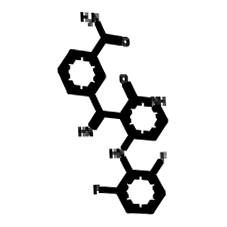 N=C(c1cccc(C(N)=O)c1)c1c(Nc2c(F)cccc2F)cc[nH]c1=O